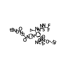 CC(C)(C)OC(=O)N1CC(C(=O)N2CCN(c3cc(S(=O)(=O)N(COCC[Si](C)(C)C)C4(C#N)CC4)cc4c3c(C3CC3)nn4-c3nnc(C(F)F)s3)CC2)C1